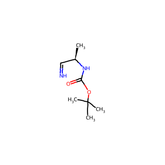 C[C@H](C=N)NC(=O)OC(C)(C)C